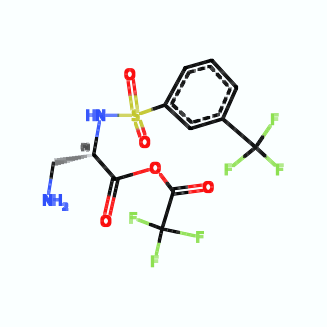 NC[C@H](NS(=O)(=O)c1cccc(C(F)(F)F)c1)C(=O)OC(=O)C(F)(F)F